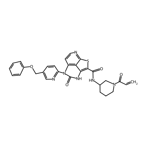 C=CC(=O)N1CCCC(NC(=O)c2sc3nccc4c3c2NC(=O)N4c2ccc(COc3ccccc3)cn2)C1